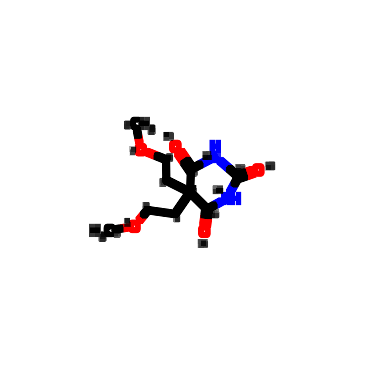 COCCC1(CCOC)C(=O)NC(=O)NC1=O